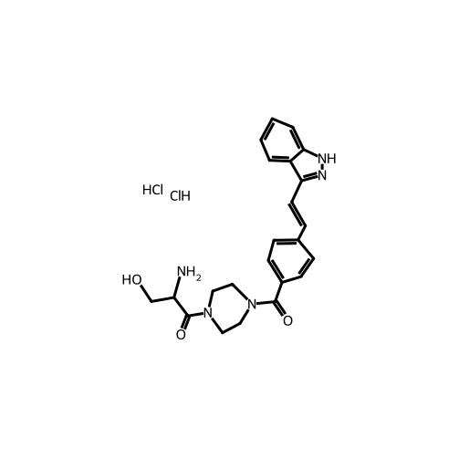 Cl.Cl.NC(CO)C(=O)N1CCN(C(=O)c2ccc(C=Cc3n[nH]c4ccccc34)cc2)CC1